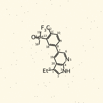 CCc1c[nH]c2ncc(-c3ccc(C(F)(F)F)c(P(C)(C)=O)c3)cc12